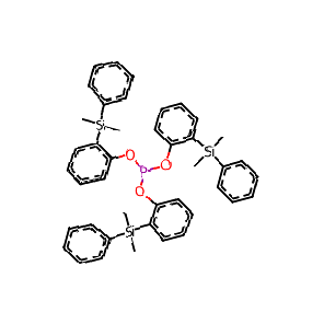 C[Si](C)(c1ccccc1)c1ccccc1OP(Oc1ccccc1[Si](C)(C)c1ccccc1)Oc1ccccc1[Si](C)(C)c1ccccc1